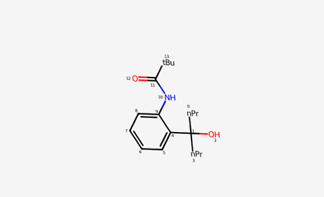 CCCC(O)(CCC)c1ccccc1NC(=O)C(C)(C)C